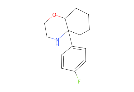 Fc1ccc(C23CCCCC2OCCN3)cc1